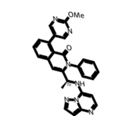 COc1ncc(-c2cccc3cc([C@H](C)Nc4ccnc5ccnn45)n(-c4ccccc4)c(=O)c23)cn1